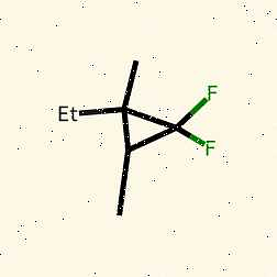 CCC1(C)C(C)C1(F)F